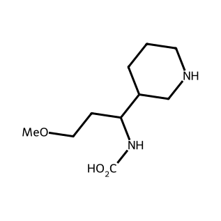 COCCC(NC(=O)O)C1CCCNC1